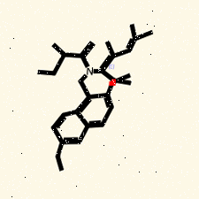 C=C(C(C)CC)N(Cc1c(CC)ccc2cc(CC)ccc12)/C(CC)=C(\C)C=C(C)C